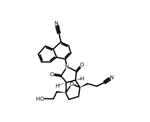 N#CCC[C@@]12CC[C@@](CCO)(O1)[C@H]1C(=O)N(c3ccc(C#N)c4ccccc34)C(=O)[C@H]12